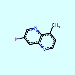 Cc1ccnc2cc(I)cnc12